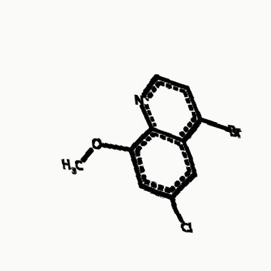 COc1cc(Cl)cc2c(Br)ccnc12